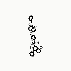 O=C1CCCc2c1cc(C(=O)Nc1ccc(Oc3ccnc4cc(OCc5ccccc5)ccc34)cn1)c(=O)n2-c1ccccc1